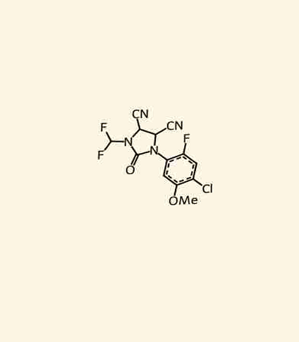 COc1cc(N2C(=O)N(C(F)F)C(C#N)C2C#N)c(F)cc1Cl